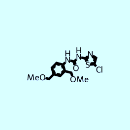 COCc1ccc(NC(=O)Nc2ncc(Cl)s2)c(COC)c1